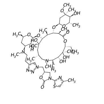 CC[C@H]1OC(=O)[C@H](C)[C@@H](O[C@H]2C[C@@](C)(OC)[C@@H](O)[C@H](C)O2)[C@H](C)[C@@H](O[C@@H]2O[C@H](C)C[C@H](N(C)CCc3cn(CC4CN(c5nc(C)cs5)C(=O)O4)nn3)[C@H]2O)[C@](C)(O)C[C@@H](C)CN(C)[C@H](C)[C@@H](O)[C@]1(C)O